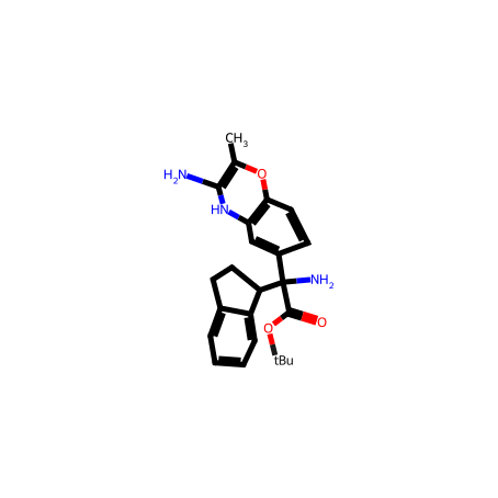 CC1=C(N)Nc2cc(C(N)(C(=O)OC(C)(C)C)C3CCc4ccccc43)ccc2O1